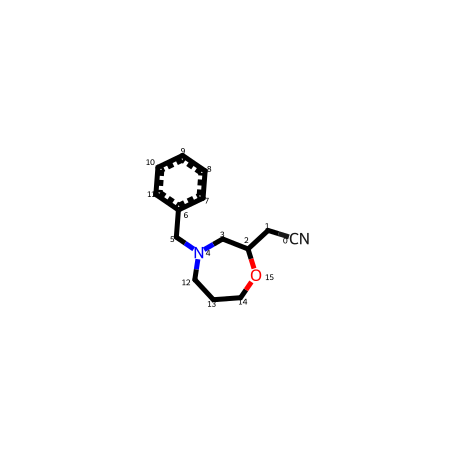 N#CCC1CN(Cc2ccccc2)CCCO1